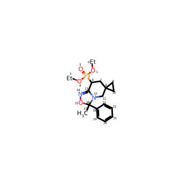 CCOP(=O)(OCC)C1CC2(CC2)CN2C1=NOC2(C)c1ccccc1